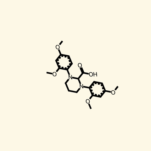 COc1ccc(N2CCCN(c3ccc(OC)cc3OC)C2C(=O)O)c(OC)c1